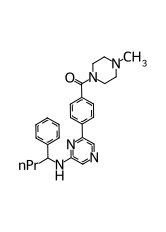 CCCC(Nc1cncc(-c2ccc(C(=O)N3CCN(C)CC3)cc2)n1)c1ccccc1